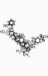 C=C(C)C1CC[C@]2(NCC[C@]3(O)CC[C@@H](S(C)(=O)=O)CC3)CC[C@]3(C)[C@H](CC[C@@H]4[C@@]5(C)CC=C(C6=CC[C@@](COc7ncccc7C#N)(C(=O)OCC)CC6)C(C)(C)[C@@H]5CC[C@]43C)[C@@H]12